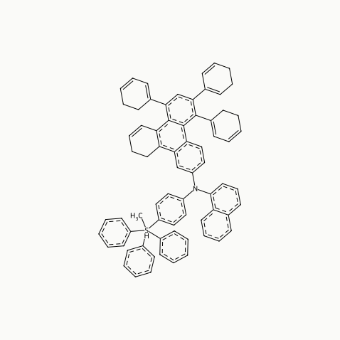 C[SH](c1ccccc1)(c1ccccc1)(c1ccccc1)c1ccc(N(c2ccc3c(c2)c2c(c4c(C5=CC=CCC5)cc(C5=CCCC=C5)c(C5=CC=CCC5)c43)C=CCC2)c2cccc3ccccc23)cc1